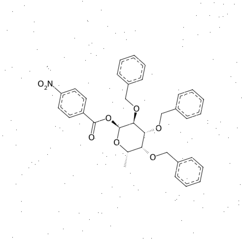 C[C@@H]1O[C@@H](OC(=O)c2ccc([N+](=O)[O-])cc2)[C@@H](OCc2ccccc2)[C@H](OCc2ccccc2)[C@@H]1OCc1ccccc1